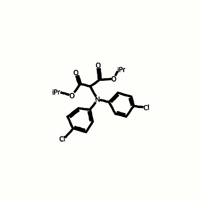 CC(C)OC(=O)C(C(=O)OC(C)C)N(c1ccc(Cl)cc1)c1ccc(Cl)cc1